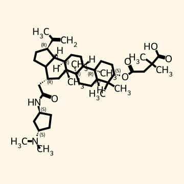 C=C(C)[C@@H]1CCC2[C@@H](CC(=O)N[C@H]3CC[C@H](N(C)C)C3)C[C@]3(C)[C@H](CC[C@@H]4[C@@]5(C)CC[C@H](OC(=O)CC(C)(C)C(=O)O)C(C)(C)[C@@H]5CC[C@]43C)[C@H]21